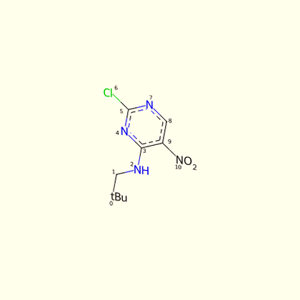 CC(C)(C)CNc1nc(Cl)ncc1[N+](=O)[O-]